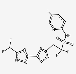 O=S(=O)(Nc1ccc(F)cn1)C(F)(F)Cc1ncc(-c2nnc(C(F)F)o2)s1